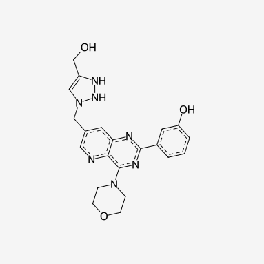 OCC1=CN(Cc2cnc3c(N4CCOCC4)nc(-c4cccc(O)c4)nc3c2)NN1